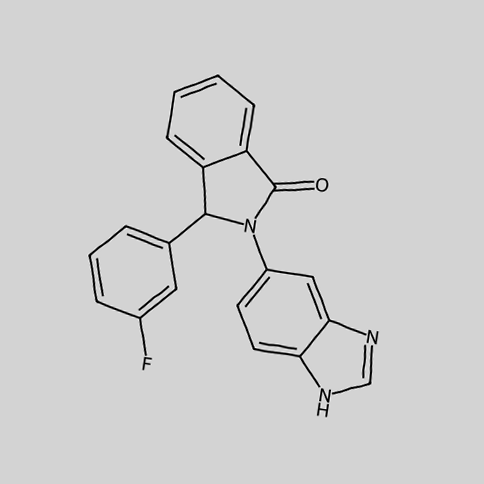 O=C1c2ccccc2C(c2cccc(F)c2)N1c1ccc2[nH]cnc2c1